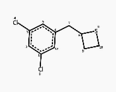 Clc1cc(Cl)cc(CC2CCS2)c1